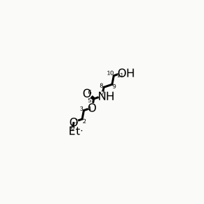 C[CH]OCCOC(=O)NCCCO